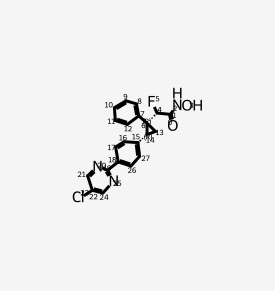 O=C(NO)C(F)[C@]1(c2ccccc2)C[C@@H]1c1ccc(-c2ncc(Cl)cn2)cc1